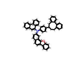 c1ccc2c(c1)CCC(c1ccc(N(c3ccc4ccc5c6ccccc6oc5c4c3)c3cc4ccccc4c4ccccc34)cc1)Cc1ccccc1-2